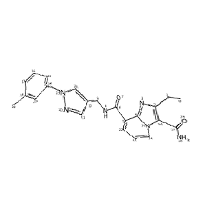 CCc1nc2c(C(=O)NCc3cnn(-c4cccc(C)c4)c3)cccn2c1C(N)=O